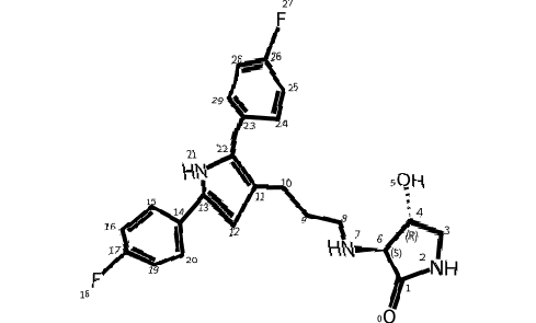 O=C1NC[C@@H](O)[C@@H]1NCCCc1cc(-c2ccc(F)cc2)[nH]c1-c1ccc(F)cc1